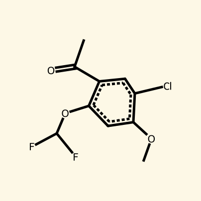 COc1cc(OC(F)F)c(C(C)=O)cc1Cl